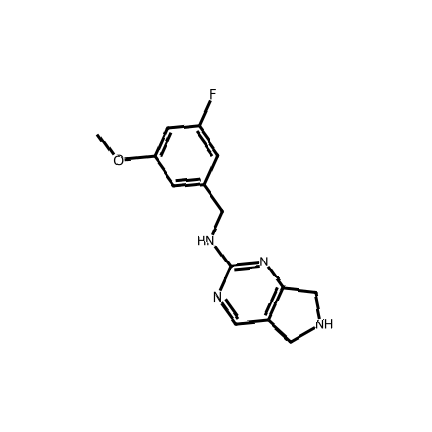 COc1cc(F)cc(CNc2ncc3c(n2)CNC3)c1